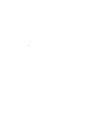 CC(C)(N)Cc1ccccc1Cl